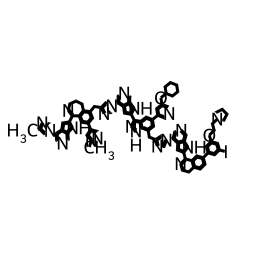 Cc1cn(-c2cncc3[nH]c(C4=NCCCc5c(Cc6cn(-c7cncc8[nH]c(-c9n[nH]c%10c(Cc%11cn(-c%12cncc%13[nH]c(C%14=NCCc%15ccc(-c%16cc(I)cc(OCCN%17CCCC%17)c%16)cc%15%14)cc%12%13)cn%11)cc(-c%11cncc(OC%12CCCCC%12)c%11)cc9%10)cc78)cn6)cc(-c6cnn(C)c6)cc54)cc23)cn1